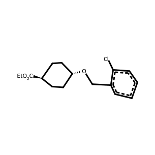 CCOC(=O)[C@H]1CC[C@H](OCc2ccccc2Cl)CC1